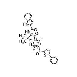 CC(C)(C)[C@H](NC(=O)c1cc2ccccc2[nH]1)C(=O)N1C[C@@H]2C[C@H]1CN2C(=O)c1ccc(-c2ccccc2)s1